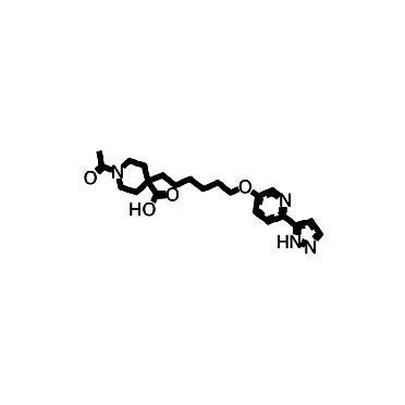 CC(=O)N1CCC(CCCCCCOc2ccc(-c3ccn[nH]3)nc2)(C(=O)O)CC1